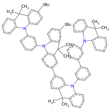 CC(C)(C)c1ccc2c(c1)C(C)(C)c1ccccc1N2c1cccc(N2c3ccc(-c4ccc5c(c4)N(c4cccc(-c6cccc(N7c8ccccc8C(C)(C)c8ccccc87)c6)c4)c4ccccc4C5(C)C)cc3C(C)(C)c3cc(C(C)(C)C)ccc32)c1